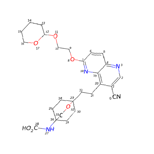 N#Cc1cnc2ccc(OCCOC3CCCCO3)nc2c1CCC12CCC(NC(=O)O)(CC1)CO2